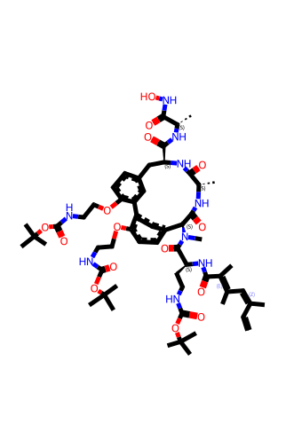 C=C/C(C)=C\C(C)=C(/C)C(=O)N[C@@H](CCNC(=O)OC(C)(C)C)C(=O)N(C)[C@@H]1C(=O)N[C@@H](C)C(=O)N[C@H](C(=O)N[C@@H](C)C(=O)NO)Cc2ccc(OCCNC(=O)OC(C)(C)C)c(c2)-c2cc1ccc2OCCNC(=O)OC(C)(C)C